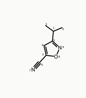 CC(C)c1cc(C#N)on1